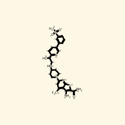 CS(=O)(=O)c1cccc(-c2ccc(C(O)CNC3CCN(c4cc(C(F)(F)F)c5c(N)c(C(N)=O)sc5n4)CC3)nc2)c1